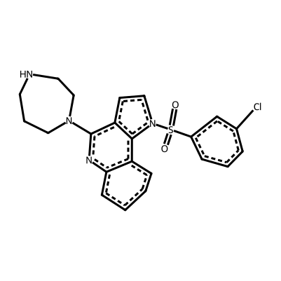 O=S(=O)(c1cccc(Cl)c1)n1ccc2c(N3CCCNCC3)nc3ccccc3c21